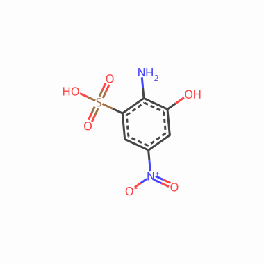 Nc1c(O)cc([N+](=O)[O-])cc1S(=O)(=O)O